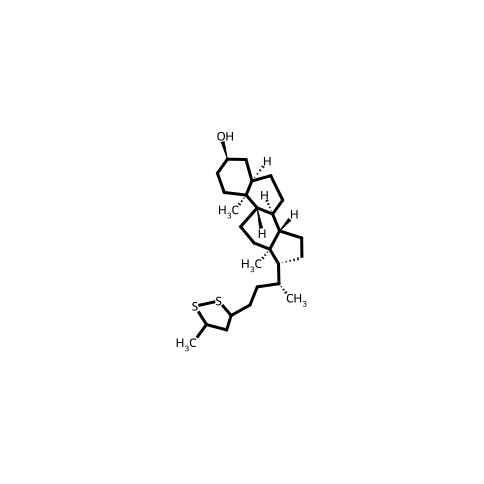 CC1CC(CC[C@@H](C)[C@H]2CC[C@H]3[C@@H]4CC[C@@H]5C[C@H](O)CC[C@]5(C)[C@H]4CC[C@]23C)SS1